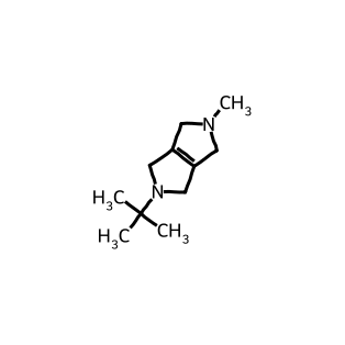 CN1CC2=C(C1)CN(C(C)(C)C)C2